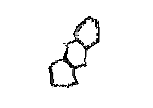 [CH]1CC=CC2=C1Cc1ccccc1O2